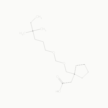 CCC(C)(C)CCCOCOCC1(CC(=O)O)CCCC1